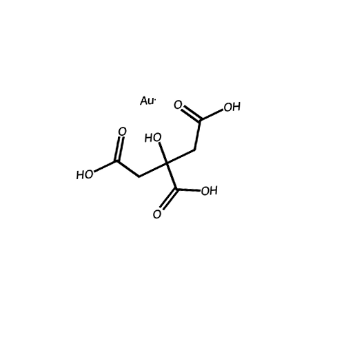 O=C(O)CC(O)(CC(=O)O)C(=O)O.[Au]